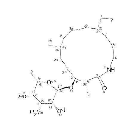 CC[C@@H]1CCCNC(=O)[C@H](C)[C@@H](O[C@@H]2O[C@@H](C)[C@@H](O)[C@@H](N)[C@H]2O)CC[C@H](C)CCC1